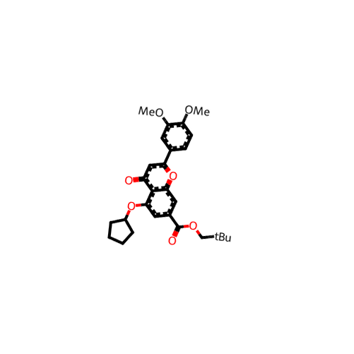 COc1ccc(-c2cc(=O)c3c(OC4CCCC4)cc(C(=O)OCC(C)(C)C)cc3o2)cc1OC